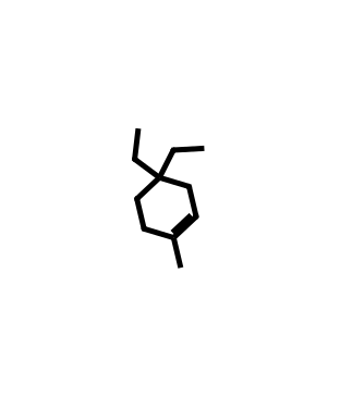 CCC1(CC)CC=C(C)CC1